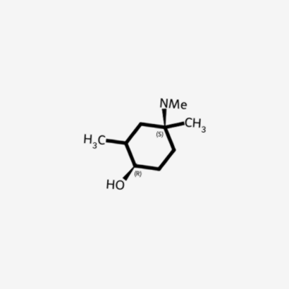 CN[C@@]1(C)CC[C@@H](O)C(C)C1